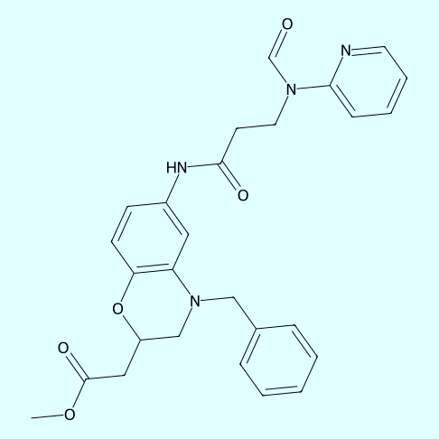 COC(=O)CC1CN(Cc2ccccc2)c2cc(NC(=O)CCN(C=O)c3ccccn3)ccc2O1